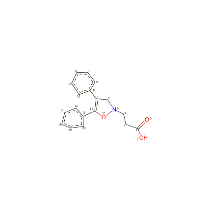 O=C(O)CCN1CC(c2ccccc2)=C(c2ccccc2)O1